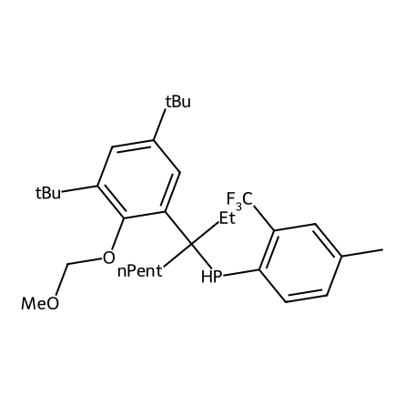 CCCCCC(CC)(Pc1ccc(C)cc1C(F)(F)F)c1cc(C(C)(C)C)cc(C(C)(C)C)c1OCOC